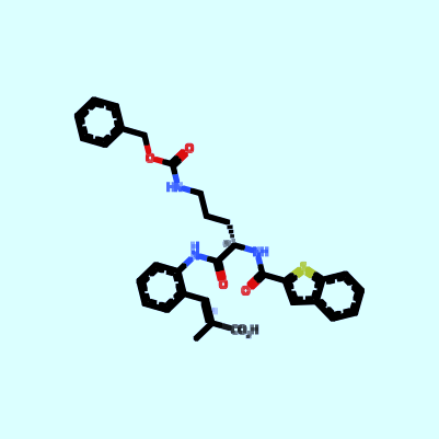 C/C(=C\c1ccccc1NC(=O)[C@H](CCCNC(=O)OCc1ccccc1)NC(=O)c1cc2ccccc2s1)C(=O)O